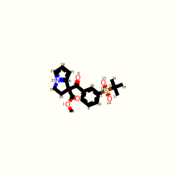 COC(=O)C1(C(=O)c2cccc(S(=O)(=O)C(C)(C)C)c2)CCn2cccc21